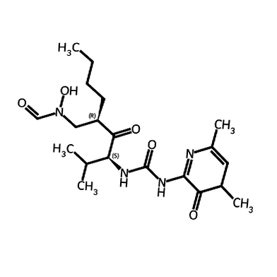 CCCC[C@H](CN(O)C=O)C(=O)[C@@H](NC(=O)NC1=NC(C)=CC(C)C1=O)C(C)C